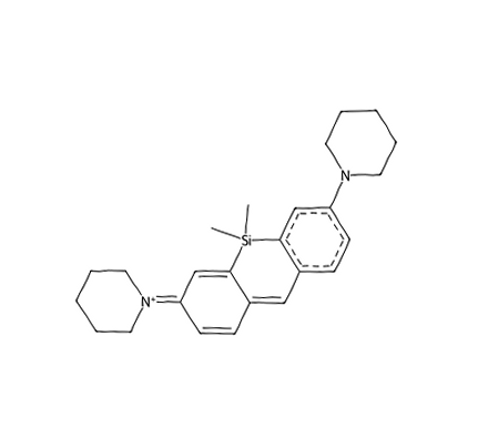 C[Si]1(C)C2=CC(=[N+]3CCCCC3)C=CC2=Cc2ccc(N3CCCCC3)cc21